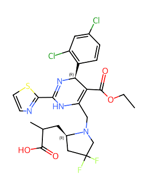 CCOC(=O)C1=C(CN2CC(F)(F)C[C@H]2CC(C)C(=O)O)NC(c2nccs2)=N[C@H]1c1ccc(Cl)cc1Cl